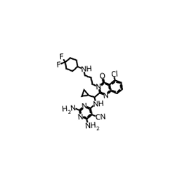 N#Cc1c(N)nc(N)nc1NC(c1nc2cccc(Cl)c2c(=O)n1CCCNC1CCC(F)(F)CC1)C1CC1